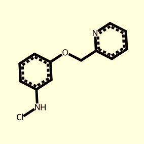 ClNc1cccc(OCc2ccccn2)c1